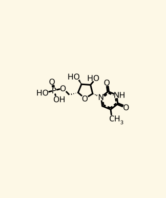 Cc1cn([C@@H]2O[C@H](COP(=O)(O)O)[C@@H](O)C2O)c(=O)[nH]c1=O